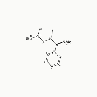 [CH2-][NH2+][C@@H](c1ccccc1)[C@@H](C)CN(C)C(C)(C)C